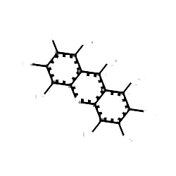 Cc1[c]([RaH])[c]([RaH])c2nc3[c]([RaH])[c]([RaH])c(C)[c]([RaH])c3[c]([RaH])c2[c]1[RaH]